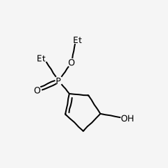 CCOP(=O)(CC)C1=CCC(O)C1